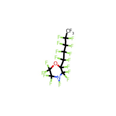 FN1C(F)(F)C(F)(F)OC(F)(C(F)(F)C(F)(F)C(F)(F)C(F)(F)C(F)(F)F)C1(F)F